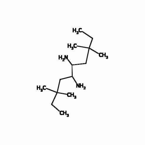 CCC(C)(C)CC(N)C(N)CC(C)(C)CC